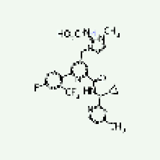 Cc1ccnc(C(NC(=O)c2cc(Cn3ccn(C)/c3=N/C(=O)O)cc(-c3ccc(F)cc3C(F)(F)F)n2)C2CC2)c1